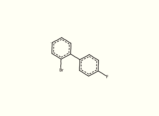 Fc1ccc(-c2cc[c]cc2Br)cc1